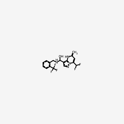 C=C1C=C(C(F)F)n2ncc(C(O)NCc3ccccc3C(F)(F)F)c2N1